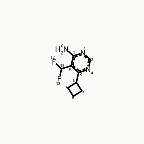 Nc1n[c]nc(C2CCC2)c1C(F)F